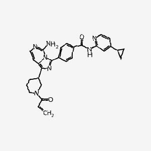 C=CC(=O)N1CCCC(c2nc(-c3ccc(C(=O)Nc4cc(C5CC5)ccn4)cc3)n3c(N)nccc23)C1